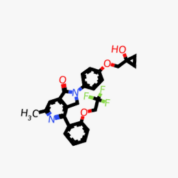 Cc1cc2c(c(-c3ccccc3OCC(F)(F)F)n1)CN(c1ccc(OCC3(O)CC3)cc1)C2=O